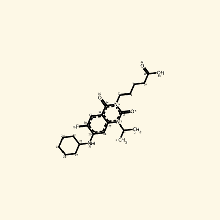 CC(C)n1c(=O)n(CCCCC(=O)O)c(=O)c2cc(F)c(NC3CCCCC3)cc21